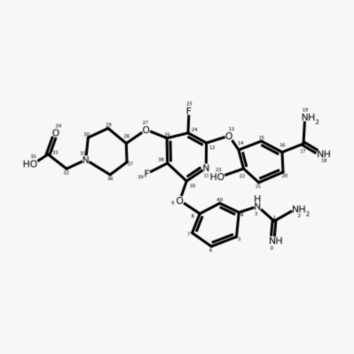 N=C(N)Nc1cccc(Oc2nc(Oc3cc(C(=N)N)ccc3O)c(F)c(OC3CCN(CC(=O)O)CC3)c2F)c1